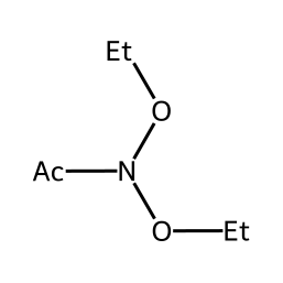 CCON(OCC)C(C)=O